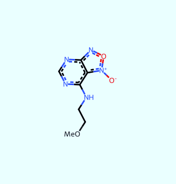 COCCNc1ncnc2no[n+]([O-])c12